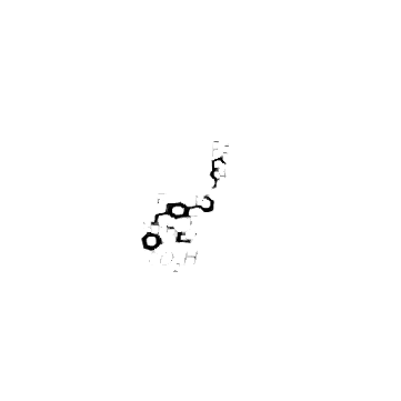 O=C(O)c1ccc2nc(Cc3cc(F)c(-c4cccc(OCc5cc6n(n5)CC(F)(F)C6)n4)cc3F)n(C[C@@H]3CCO3)c2c1